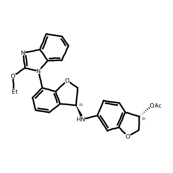 CCOc1nc2ccccc2n1-c1cccc2c1OC[C@H]2Nc1ccc2c(c1)OC[C@H]2OC(C)=O